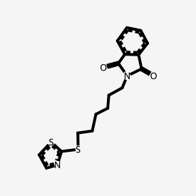 O=C1c2ccccc2C(=O)N1CCCCCCSc1nccs1